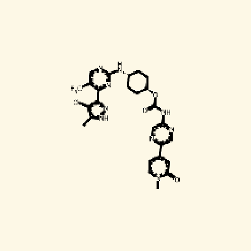 Cc1[nH]nc(-c2nc(N[C@H]3CC[C@H](OC(=O)Nc4cnc(-c5ccn(C)c(=O)c5)cn4)CC3)ncc2C(F)(F)F)c1Cl